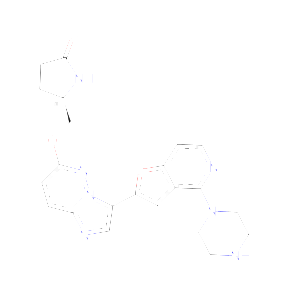 O=C1CC[C@H](COc2ccc3ncc(-c4cc5c(N6CCNCC6)nccc5o4)n3n2)N1